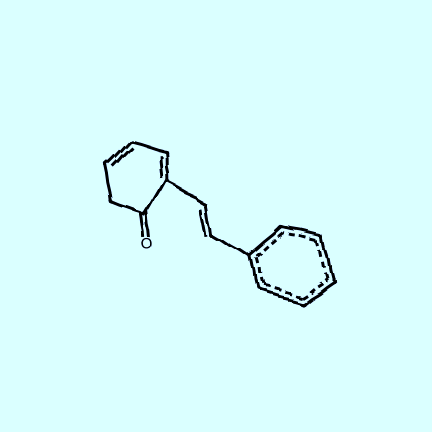 O=C1CC=CC=C1C=Cc1ccccc1